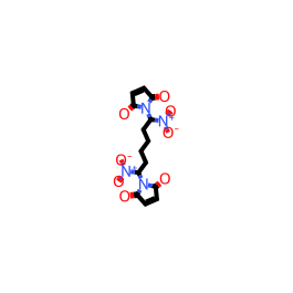 O=C1C=CC(=O)N1C(CCCCC(N1C(=O)C=CC1=O)[N+](=O)[O-])[N+](=O)[O-]